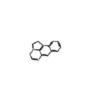 C1=Nc2cc3ccccc3c3c2N(C1)CC3